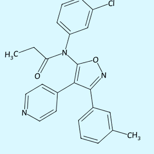 CCC(=O)N(c1cccc(Cl)c1)c1onc(-c2cccc(C)c2)c1-c1ccncc1